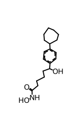 O=C(CCCCC(O)c1ccc(C2CCCCCC2)cc1)NO